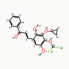 COc1cc(C=CC(=O)c2ccccc2)c(OC)c(OC2CC2)c1OC(F)F